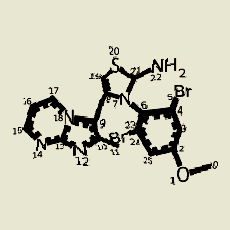 COc1cc(Br)c(N2C(c3c(C)nc4ncccn34)=CSC2N)c(Br)c1